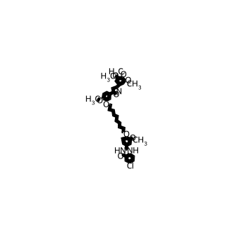 COc1cc(C2NC(=O)c3cc(Cl)ccc3N2)ccc1OCCCCCCCCCCOc1cc(C2CC(c3cc(OC)c(OC)c(OC)c3)=NO2)ccc1OC